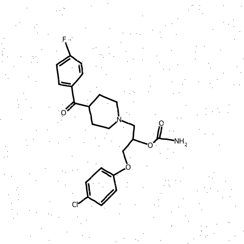 NC(=O)OC(COc1ccc(Cl)cc1)CN1CCC(C(=O)c2ccc(F)cc2)CC1